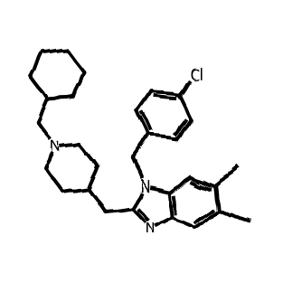 Cc1cc2nc(CC3CCN(CC4CCCCC4)CC3)n(Cc3ccc(Cl)cc3)c2cc1C